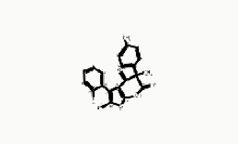 Cc1ccc(C2(C)C(=O)Nc3sc(Cl)c(-c4ccccc4F)c3C2=O)cc1